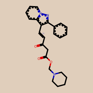 O=C(/C=C/c1c(-c2ccccc2)nn2ccccc12)CC(=O)OCN1CCCCC1